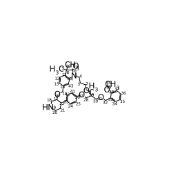 COCCCN1C(=O)C(C)(C)c2ccc(CO[C@H]3CNCC[C@@H]3c3ccc(OCCCOCc4ccccc4OC)cc3)cc21